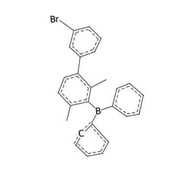 Cc1ccc(-c2cccc(Br)c2)c(C)c1B(c1ccccc1)c1ccccc1